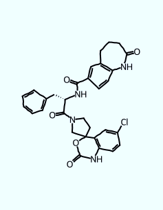 O=C1CCCc2cc(C(=O)N[C@@H](Cc3ccccc3)C(=O)N3CCC4(C3)OC(=O)Nc3ccc(Cl)cc34)ccc2N1